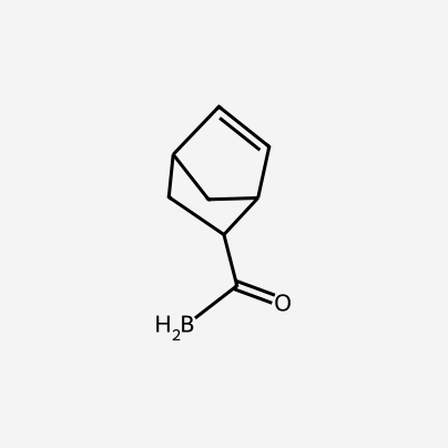 BC(=O)C1CC2C=CC1C2